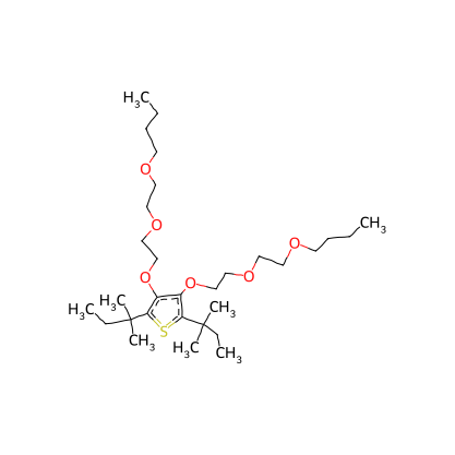 CCCCOCCOCCOc1c(C(C)(C)CC)sc(C(C)(C)CC)c1OCCOCCOCCCC